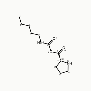 CCCCCNC(=O)OC(=O)[C@@H]1CCCN1